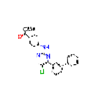 COC(=O)[C@H]1CC[C@H](Nc2ncc(Cl)c(-c3cccc(-c4ccccc4)c3)n2)CC1